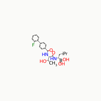 CC(C)C[C@H](NC(=O)[C@@H](NC(=O)c1ccc(-c2ccccc2F)cc1)[C@@H](C)O)B(O)O